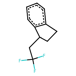 FC(F)(F)C[C]1CCc2ccccc21